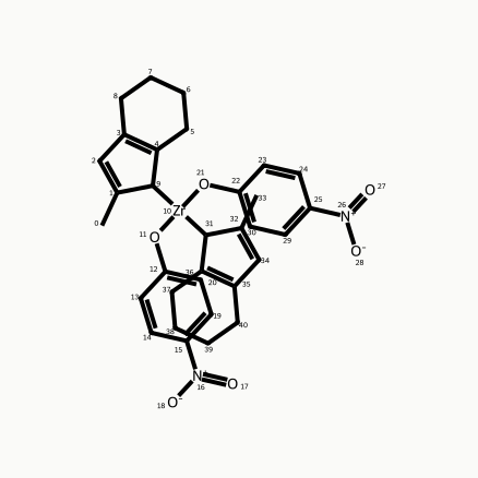 CC1=CC2=C(CCCC2)[CH]1[Zr]([O]c1ccc([N+](=O)[O-])cc1)([O]c1ccc([N+](=O)[O-])cc1)[CH]1C(C)=CC2=C1CCCC2